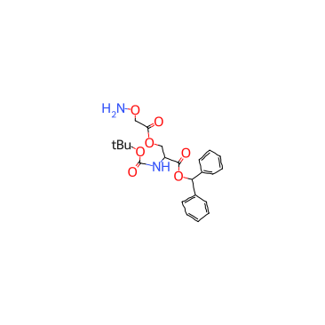 CC(C)(C)OC(=O)NC(COC(=O)CON)C(=O)OC(c1ccccc1)c1ccccc1